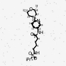 CC(C)S(=O)(=O)NCCCCC(=O)Nc1ccc(N2C[C@@H](C)O[C@@H](C)C2)nc1